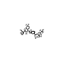 CCc1oncc1C(=O)NC(c1nc2cc(C(COC)N3CC(C(F)(F)F)NC3=O)ccc2o1)C1CCC(F)(F)CC1